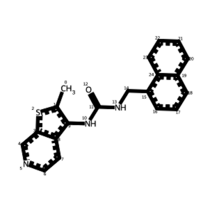 Cc1sc2cnccc2c1NC(=O)NCc1cccc2ccccc12